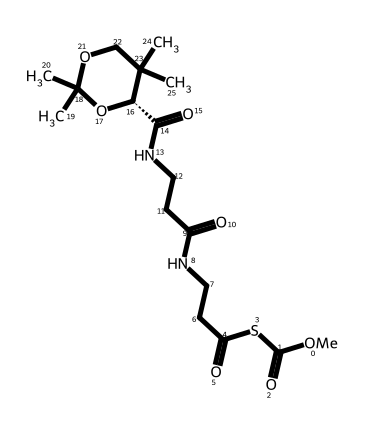 COC(=O)SC(=O)CCNC(=O)CCNC(=O)[C@@H]1OC(C)(C)OCC1(C)C